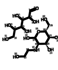 O=CC(O)C(O)C(O)C(O)CO.OCCN[C@H]1C(O)O[C@H](CO)[C@@H](O)[C@@H]1O